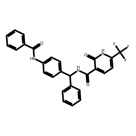 O=C(Nc1ccc(C(NC(=O)c2ccc(C(F)(F)F)[nH]c2=O)c2ccccc2)cc1)c1ccccc1